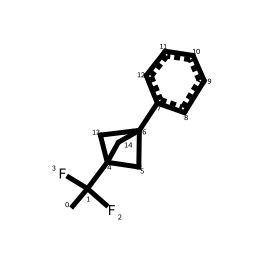 CC(F)(F)C12CC(c3ccccc3)(C1)C2